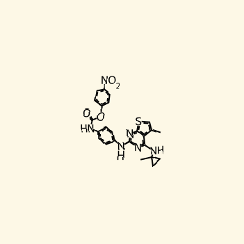 Cc1csc2nc(Nc3ccc(NC(=O)Oc4ccc([N+](=O)[O-])cc4)cc3)nc(NC3(C)CC3)c12